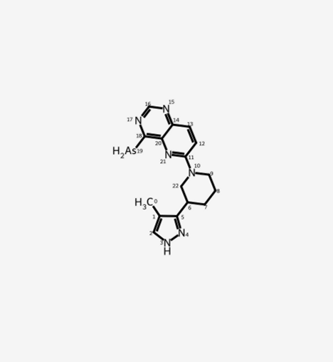 Cc1c[nH]nc1C1CCCN(c2ccc3ncnc([AsH2])c3n2)C1